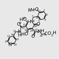 COc1ccccc1Cn1c(O)c(C(=O)NCc2ccncc2)c(O)c(C(=O)NCC(=O)O)c1=O